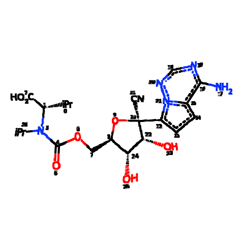 CC(C)[C@@H](C(=O)O)N(C(=O)OC[C@H]1O[C@@](C#N)(c2ccc3c(N)ncnn23)[C@H](O)[C@@H]1O)C(C)C